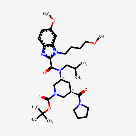 COCCCCn1c(C(=O)N(CC(C)C)[C@H]2C[C@@H](C(=O)N3CCCC3)CN(C(=O)OC(C)(C)C)C2)nc2ccc(OC)cc21